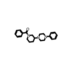 O=C(c1ccccc1)N1CCCC(N2CCN(c3ccccc3)CC2)C1